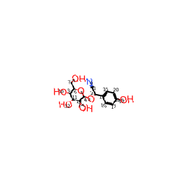 N#CC(OC1OC(CO)C(O)C(O)C1O)c1ccc(O)cc1